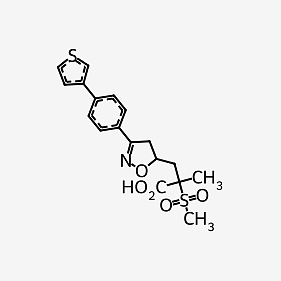 CC(CC1CC(c2ccc(-c3ccsc3)cc2)=NO1)(C(=O)O)S(C)(=O)=O